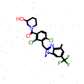 Cc1cc(C(F)(F)F)cc2c1nc(Cc1c(Cl)ccc(C(=O)N3CCCC(O)C3)c1Cl)n2C